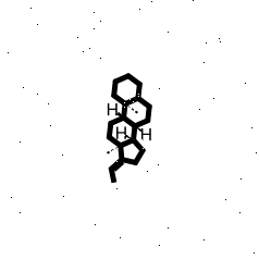 CC=C1CC[C@@H]2[C@@H]3CCC4CCCC[C@]4(C)[C@H]3CC[C@]12C